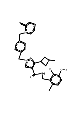 COc1ccc(C)c(CNC(=O)c2cn(Cc3ccc(Cn4ccccc4=O)cc3)nc2C2CN(C)C2)c1F